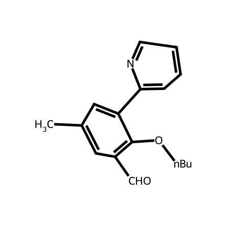 CCCCOc1c(C=O)cc(C)cc1-c1ccccn1